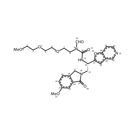 COCCOCCOCCN(C=O)C(=O)N[C@@H](CN1Cc2ccc(OC)cc2C1=O)c1cc2cnccc2o1